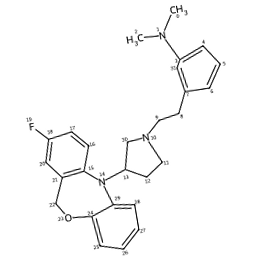 CN(C)c1cccc(CCN2CCC(N3c4ccc(F)cc4COc4ccccc43)C2)c1